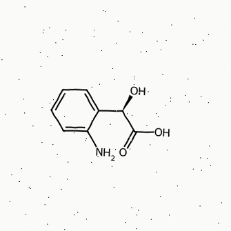 Nc1ccccc1[C@@H](O)C(=O)O